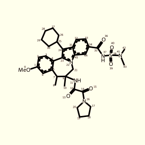 COc1ccc2c(c1)C(C)C(C)(NC(=O)C(=O)N1CCCC1)Cn1c-2c(C2CCCCC2)c2ccc(C(=O)NS(=O)(=O)N(C)C)cc21